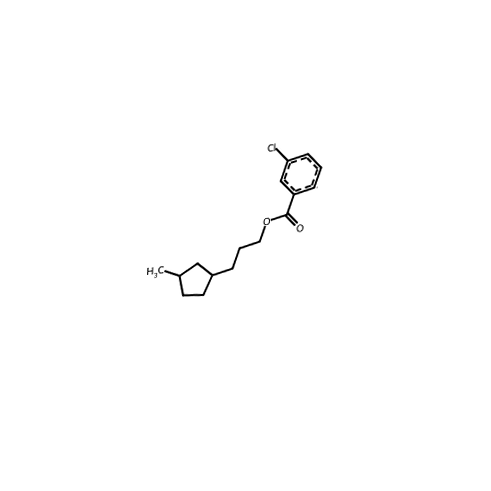 CC1CCC(CCCOC(=O)c2[c]ccc(Cl)c2)C1